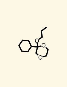 CCCOC1(C2CCCCC2)COCCO1